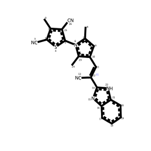 Cc1c(C#N)sc(-n2c(C)cc(/C=C(\C#N)c3nc4ccccc4[nH]3)c2C)c1C#N